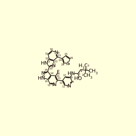 CC(C)(C)CC(O)Nc1cncc(-c2ncc3[nH]nc(-c4nc5c(-c6ccsc6)nccc5[nH]4)c3c2F)c1